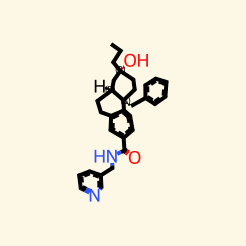 CCC[C@@]1(O)CC[C@@]2(Cc3ccccc3)c3ccc(C(=O)NCc4cccnc4)cc3CC[C@@H]2C1